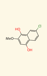 COc1cc(O)c2ccc(Cl)cc2c1O